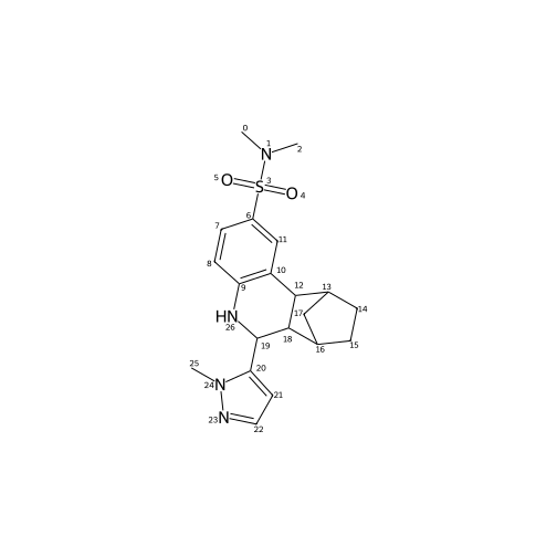 CN(C)S(=O)(=O)c1ccc2c(c1)C1C3CCC(C3)C1C(c1ccnn1C)N2